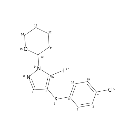 Clc1ccc(Sc2cnn(C3CCCCO3)c2I)cc1